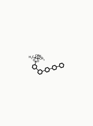 CC1(C)OB(c2cccc(-c3cccc(-c4ccc(-c5ccc(-c6ccccc6)cc5)cc4)c3)c2)OC1(C)C